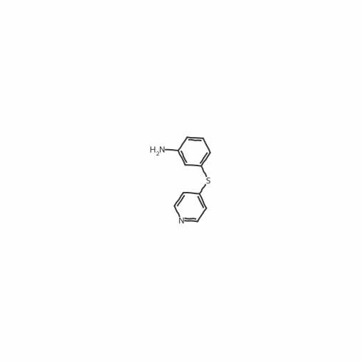 Nc1cccc(Sc2ccncc2)c1